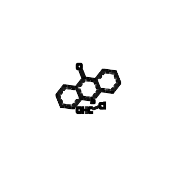 O=CCl.O=c1c2ccccc2sc2ccccc12